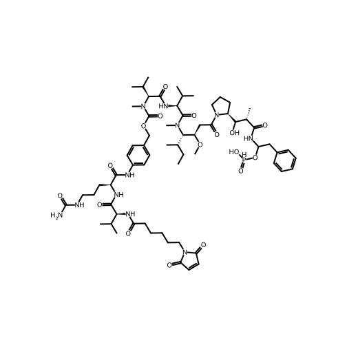 CCC(C)[C@@H]([C@@H](CC(=O)N1CCC[C@H]1C(O)[C@H](C)C(=O)NC(Cc1ccccc1)O[PH](=O)O)OC)N(C)C(=O)[C@@H](NC(=O)[C@H](C(C)C)N(C)C(=O)OCc1ccc(NC(=O)[C@H](CCCNC(N)=O)NC(=O)[C@@H](NC(=O)CCCCCN2C(=O)C=CC2=O)C(C)C)cc1)C(C)C